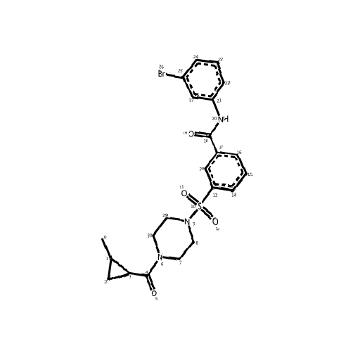 CC1CC1C(=O)N1CCN(S(=O)(=O)c2cccc(C(=O)Nc3cccc(Br)c3)c2)CC1